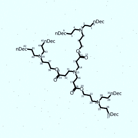 CCCCCCCCCCCCN(CCCCCCCCCCCC)CCCOC(=O)CCN(CCC(=O)OCCCN(CCCCCCCCCCCC)CCCCCCCCCCCC)CCC(=O)OCCCN(CCCCCCCCCCCC)CCCCCCCCCCCC